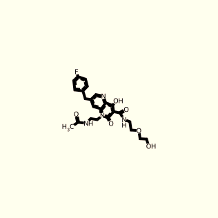 CC(=O)NCCn1c(=O)c(C(=O)NCCOCCO)c(O)c2ncc(Cc3ccc(F)cc3)cc21